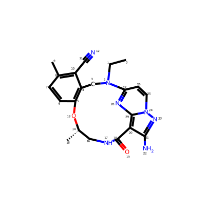 CCN1Cc2c(ccc(C)c2C#N)O[C@@H](C)CNC(=O)c2c(N)nn3ccc1nc23